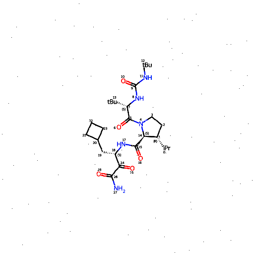 CC(C)[C@H]1CCN(C(=O)[C@@H](NC(=O)NC(C)(C)C)C(C)(C)C)[C@@H]1C(=O)N[C@@H](CC1CCC1)C(=O)C(N)=O